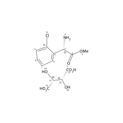 COC(=O)[C@@H](N)c1ccccc1Cl.O=C(O)[C@H](O)[C@@H](O)C(=O)O